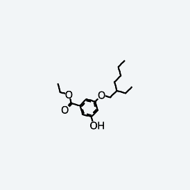 CCCCC(CC)COc1cc(O)cc(C(=O)OCC)c1